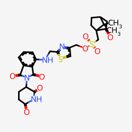 CC1(C)C2CCC1(CS(=O)(=O)OCc1csc(CNc3cccc4c3C(=O)N(C3CCC(=O)NC3=O)C4=O)n1)C(=O)C2